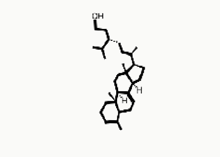 CC1CCC[C@@]2(C)C1CC=C1[C@@H]3CC[C@H]([C@H](C)CC[C@@H](CCO)C(C)C)[C@@]3(C)CC[C@@H]12